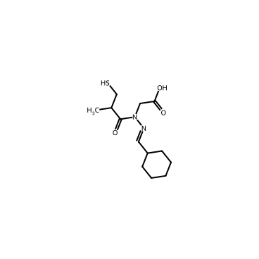 CC(CS)C(=O)N(CC(=O)O)N=CC1CCCCC1